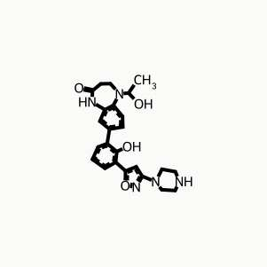 CC(O)N1CCC(=O)Nc2cc(-c3cccc(-c4cc(N5CCNCC5)no4)c3O)ccc21